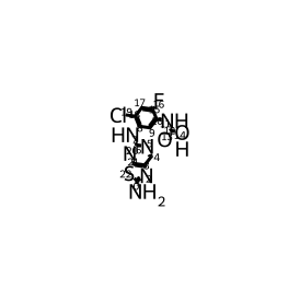 Nc1nc2cnc(Nc3cc(NC(=O)O)c(F)cc3Cl)nc2s1